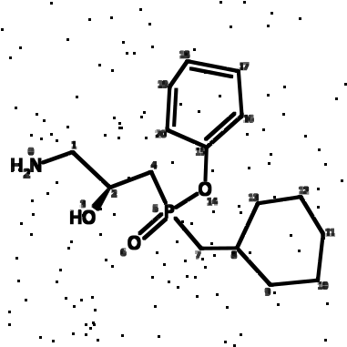 NC[C@H](O)CP(=O)(CC1CCCCC1)Oc1ccccc1